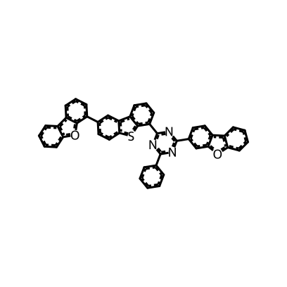 c1ccc(-c2nc(-c3ccc4c(c3)oc3ccccc34)nc(-c3cccc4c3sc3ccc(-c5cccc6c5oc5ccccc56)cc34)n2)cc1